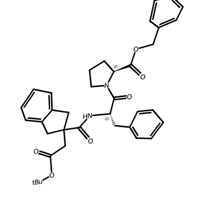 CC(C)(C)OC(=O)CC1(C(=O)N[C@@H](Cc2ccccc2)C(=O)N2CCC[C@H]2C(=O)OCc2ccccc2)Cc2ccccc2C1